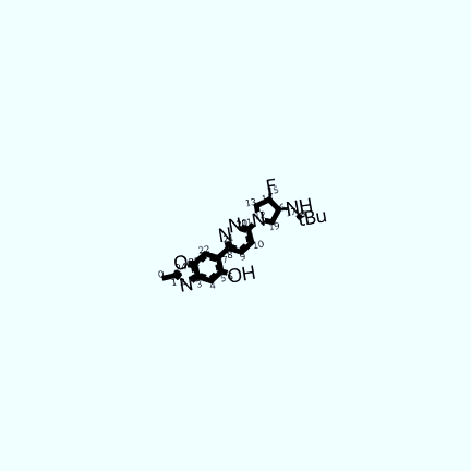 Cc1nc2cc(O)c(-c3ccc(N4C[C@@H](F)[C@@H](NC(C)(C)C)C4)nn3)cc2o1